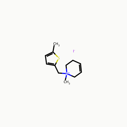 Cc1ccc(C[N+]2(C)CC=CCC2)s1.[I-]